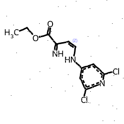 CCOC(=O)C(=N)/C=C\Nc1cc(Cl)nc(Cl)c1